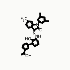 C=C(O)c1cccc(-c2cccc(N/N=C3\C(=O)N(c4cc(C)cc(C)c4)c4cc(C(F)(F)F)ccc43)c2O)c1